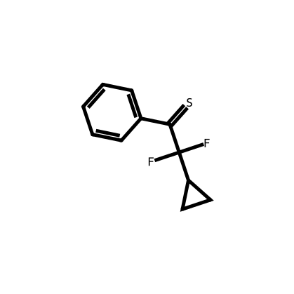 FC(F)(C(=S)c1ccccc1)C1CC1